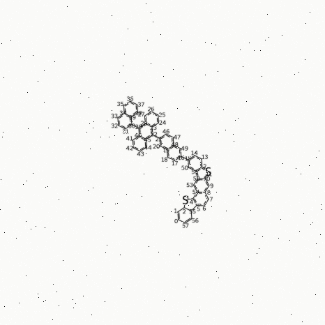 C1=CC2Sc3c(ccc4cc5sc6ccc(-c7ccc8cc(-c9c%10ccccc%10c(-c%10cccc%11ccccc%10%11)c%10ccccc9%10)ccc8c7)cc6c5cc34)C2C=C1